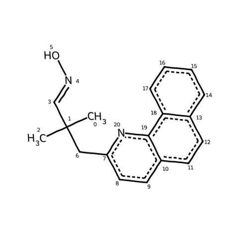 CC(C)(C=NO)Cc1ccc2ccc3ccccc3c2n1